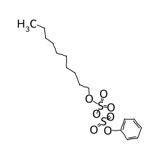 CCCCCCCCCCOS(=O)(=O)OS(=O)(=O)Oc1ccccc1